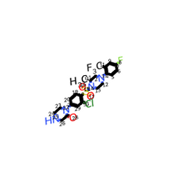 C[C@@H]1CN(c2ccc(F)cc2C(F)(F)F)CCN1S(=O)(=O)c1ccc(N2CCNCC2=O)cc1Cl